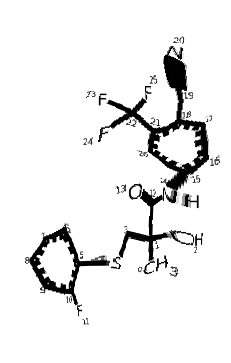 CC(O)(CSc1ccccc1F)C(=O)Nc1ccc(C#N)c(C(F)(F)F)c1